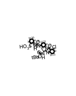 C[C@H](NC(=O)OC(C)(C)C)c1nc2cccc(Cl)c2c(=O)n1-c1cccc(NC(=O)Nc2ccccc2S(=O)(=O)O)c1